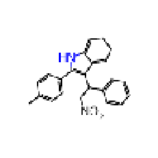 Cc1ccc(-c2[nH]c3c(c2C(C[N+](=O)[O-])c2ccccc2)=CCCC=3)cc1